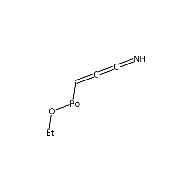 CC[O][Po][CH]=C=C=N